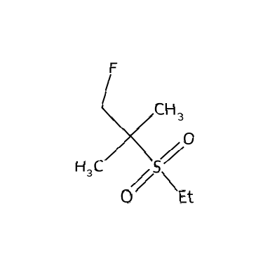 CCS(=O)(=O)C(C)(C)CF